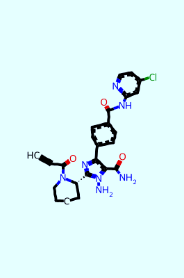 C#CC(=O)N1CCCC[C@H]1c1nc(-c2ccc(C(=O)Nc3cc(Cl)ccn3)cc2)c(C(N)=O)n1N